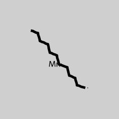 [CH2]CCCCCCCCCCC.[Mn]